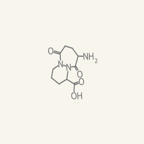 NC1CCC(=O)N2CCCC(C(=O)O)N2C1=O